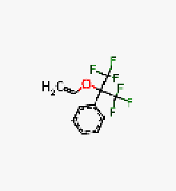 C=COC(c1ccccc1)(C(F)(F)F)C(F)(F)F